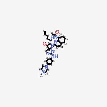 C=CCCC[C@@H]1C(=O)c2cnc(Nc3ccc(N4CCN(C)CC4)cc3)nc2N1c1ccc2c(n1)[C@@](C)(NC(C)=O)CCC2